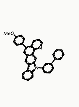 COc1ccc(-c2cc3cc4c5ccccc5n(-c5cccc(-c6ccccc6)c5)c4cc3c3ncccc23)cc1